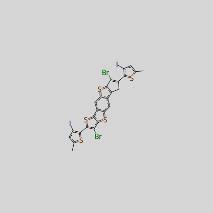 Cc1cc(I)c(C2=C(Br)c3sc4cc5c(cc4c3C2)sc2c(Br)c(-c3sc(C)cc3I)sc25)s1